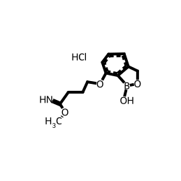 COC(=N)CCCOc1cccc2c1B(O)OC2.Cl